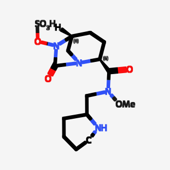 CON(CC1CCCCN1)C(=O)[C@@H]1CC[C@@H]2CN1C(=O)N2OS(=O)(=O)O